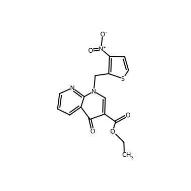 CCOC(=O)c1cn(Cc2sccc2[N+](=O)[O-])c2ncccc2c1=O